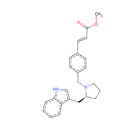 COC(=O)C=Cc1ccc(CN2CCC[C@H]2Cc2c[nH]c3ccccc23)cc1